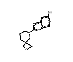 Nc1ccc2oc(N3CCCC4(COC4)C3)nc2c1